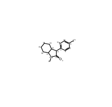 CN1C(=O)C(c2ccc(I)cn2)C2CCCCC21